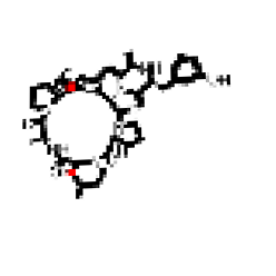 C=C(/C=C/CCCC)N[C@@H](Cc1cccc(O)c1)C(=C)N[C@@H]1C(=O)N2CCC[C@H]2C(=O)N2CCC(C)C[C@H]2C(=O)N[C@@H](C)C(=O)N2CCC[C@H]2C(=O)O[C@H]1C